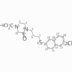 O=C(O)N1CCN(CCCSc2ccc3cc(Cl)ccc3c2)C(=O)C1